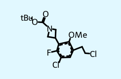 COc1c(CCCl)cc(Cl)c(F)c1C1CN(C(=O)OC(C)(C)C)C1